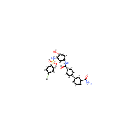 NC(=O)c1cccc(-c2ccc(C(=O)Nc3ccc(O)c(NS(=O)(=O)c4ccc(F)cc4)c3)cc2)c1